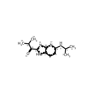 CC(C)Nc1ccc2[nH]c(C(=O)C(C)C)nc2n1